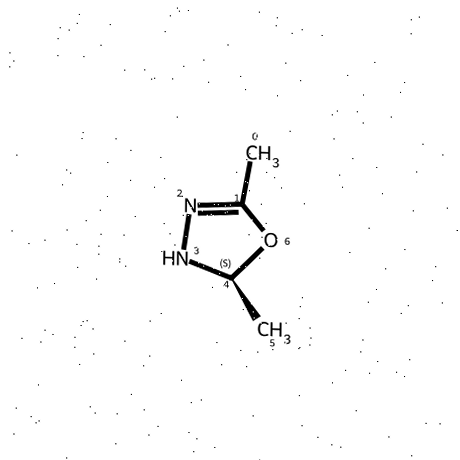 CC1=NN[C@H](C)O1